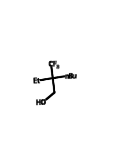 CCCCC(CC)(CO)C(F)(F)F